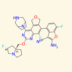 N#Cc1c(N)oc2c(F)ccc(-c3c4c(c5c(N6C7CCC6CNC7)nc(OC[C@@]67CCCN6C[C@H](F)C7)nc5c3F)COC4)c12